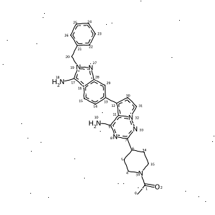 CC(=O)N1CCC(c2nc(N)c3c(-c4ccc5c(N)n(Cc6ccccc6)nc5c4)ccn3n2)CC1